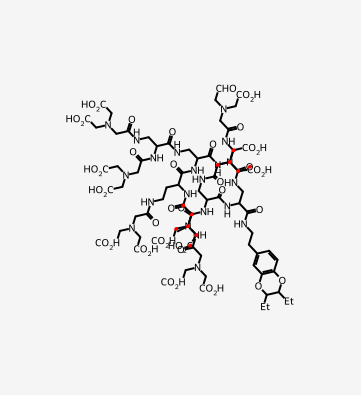 CCC1Oc2ccc(CCNC(=O)C(CNC(=O)C(CNC(=O)CN(CC=O)CC(=O)O)NC(=O)C(CNC(=O)C(CNC(=O)CN(CC(=O)O)CC(=O)O)NC(=O)CN(CC(=O)O)CC(=O)O)NC(=O)C(CCNC(=O)CN(CC(=O)O)CC(=O)O)NC(=O)CN(CC(=O)O)CC(=O)O)NC(=O)C(CNC(=O)CN(CC(=O)O)CC(=O)O)NC(=O)C(C)NC(=O)CN(CC(=O)O)CC(=O)O)cc2OC1CC